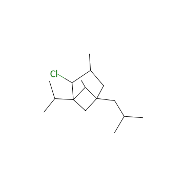 CC(C)CC12CC(C)C(Cl)C(C(C)C)(C1)C2C